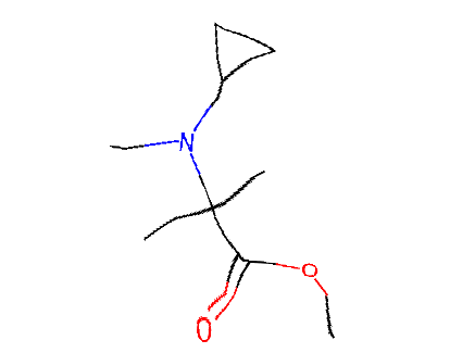 COC(=O)C(C)(C)N(C)C1CC1